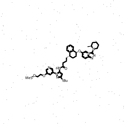 CSOCCOc1cncc(-n2nc(C(C)(C)C)cc2NC(=O)CCC[C@H]2CC[C@@H](Oc3ccc4nnc(N5CCCC[C@@H]5C)n4c3)c3ccccc32)c1